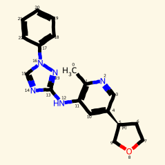 Cc1ncc([C@H]2CCOC2)cc1Nc1ncn(-c2ccccc2)n1